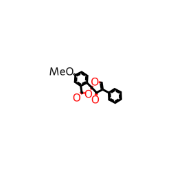 COc1ccc2c(c1)C(=O)OC21OC=C(c2ccccc2)C1=O